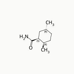 C[C@@H]1CC[C@@H](C)[C@@H](C(N)=O)C1